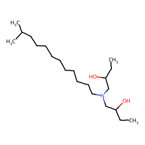 CCC(O)CN(CCCCCCCCCCC(C)C)CC(O)CC